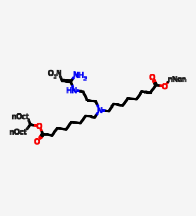 CCCCCCCCCOC(=O)CCCCCCCN(CCCCCCCC(=O)OC(CCCCCCCC)CCCCCCCC)CCCNC(N)=C[N+](=O)[O-]